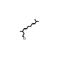 CC(C)C=CCCC=CC(C)C[C]=O